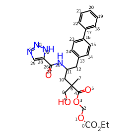 CCOC(=O)OCOC(=O)C(C)(CO)CC(Cc1ccc(-c2ccccc2)cc1)NC(=O)c1cnn[nH]1